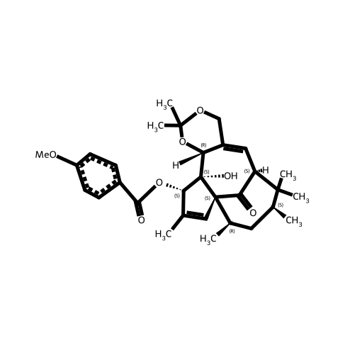 COc1ccc(C(=O)O[C@H]2C(C)=C[C@]34C(=O)[C@@H](C=C5COC(C)(C)O[C@H]5[C@]23O)C(C)(C)[C@@H](C)C[C@H]4C)cc1